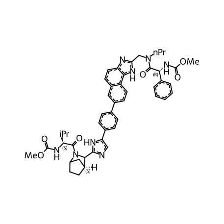 CCCN(Cc1nc2ccc3cc(-c4ccc(-c5cnc(C6[C@H]7CCC(C7)N6C(=O)[C@@H](NC(=O)OC)C(C)C)[nH]5)cc4)ccc3c2[nH]1)C(=O)[C@H](NC(=O)OC)c1ccccc1